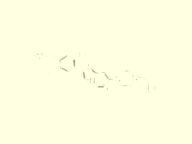 COc1cc(C)c(-c2cn3cnc(N4CCN(SC5CC5)CC4)cc3n2)cc1Cl